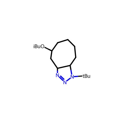 CC(C)COC1CCCCC2C(C1)N=NN2C(C)(C)C